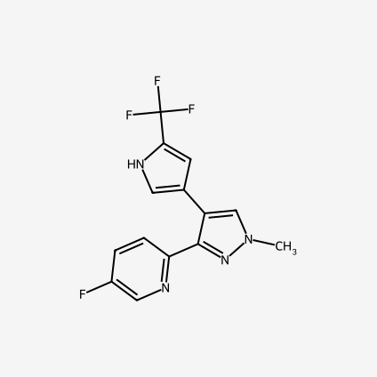 Cn1cc(-c2c[nH]c(C(F)(F)F)c2)c(-c2ccc(F)cn2)n1